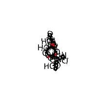 CC[C@H]1OC(=O)[C@H](C)[C@@H](O)[C@H](C)[C@@H](O[C@@H]2O[C@H](C)C[C@H](N(C)C(=O)N3CCOCC3)[C@H]2O)[C@](C)(OC)C[C@@H](C)C(=O)C(C)[C@H]2C(SCCN(Cc3c(Cl)cncc3Cl)c3ccc(CO)c(OC4CCCC4)c3)C(=O)O[C@@]21C